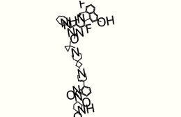 C#Cc1c(F)ccc2cc(O)cc(-c3ncc4c(N5CC6CCC(C5)N6)nc(OCC5(CN6CCC7(CC6)CC(N6CC=C(c8cccc9c8n(C)c(=O)n9C8CCC(=O)NC8=O)CC6)C7)CC5)nc4c3F)c12